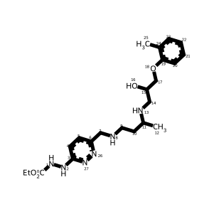 CCOC(=O)NNc1ccc(CNCCC(C)NCC(O)COc2ccccc2C)nn1